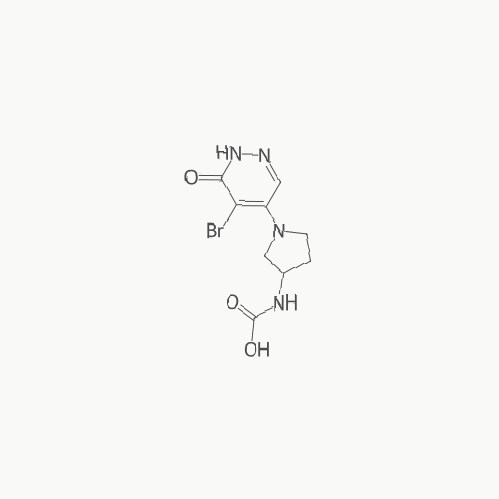 O=C(O)NC1CCN(c2cn[nH]c(=O)c2Br)C1